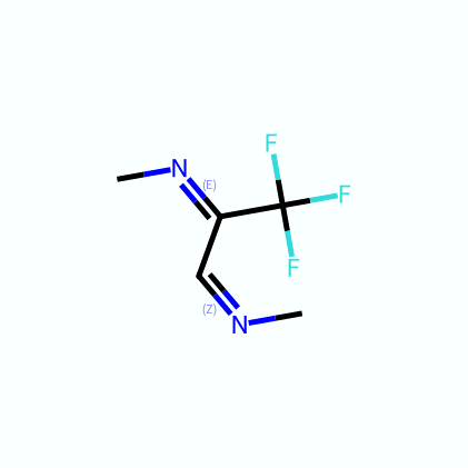 C/N=C\C(=N/C)C(F)(F)F